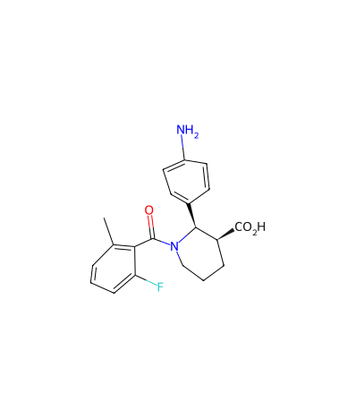 Cc1cccc(F)c1C(=O)N1CCC[C@H](C(=O)O)[C@@H]1c1ccc(N)cc1